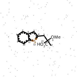 COC(C)(Cc1cc2ccccc2s1)C(=O)O